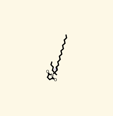 CCCCCCCCCCCC/C=C/C(C)(CCCC)N1C(=O)CCC1=O